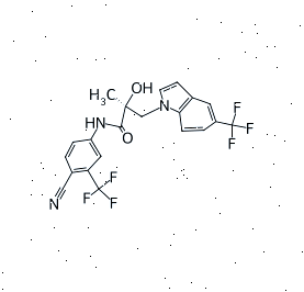 C[C@](O)(Cn1ccc2cc(C(F)(F)F)ccc21)C(=O)Nc1ccc(C#N)c(C(F)(F)F)c1